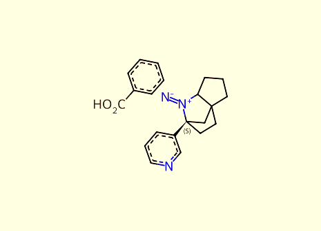 O=C(O)c1ccccc1.[N-]=[N+]1C2CCCC23CC[C@@]1(c1cccnc1)C3